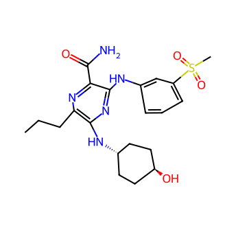 CCCc1nc(C(N)=O)c(Nc2cccc(S(C)(=O)=O)c2)nc1N[C@H]1CC[C@H](O)CC1